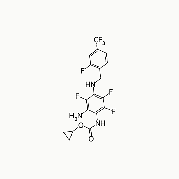 Nc1c(F)c(NCc2ccc(C(F)(F)F)cc2F)c(F)c(F)c1NC(=O)OC1CC1